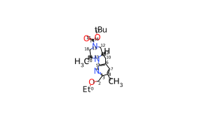 CCOCc1nc2c(cc1C)C[C@@H]1CN(C(=O)OC(C)(C)C)C[C@@H](C)N21